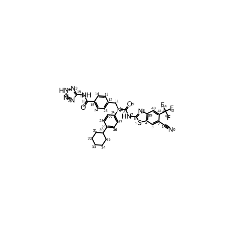 N#Cc1cc2sc(NC(=O)N(Cc3ccc(C(=O)Nc4nn[nH]n4)cc3)c3ccc(C4CCCCC4)cc3)nc2cc1C(F)(F)F